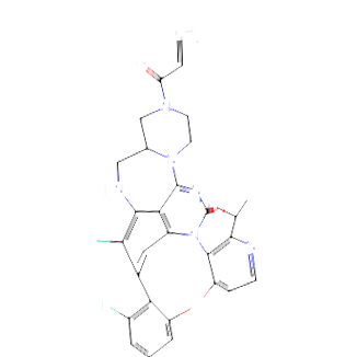 C=CC(=O)N1CCN2c3nc(=O)n4c5cc(c(F)c(c35)NCC2C1)c1c(F)cccc1oc1ccnc(C(C)C)c14